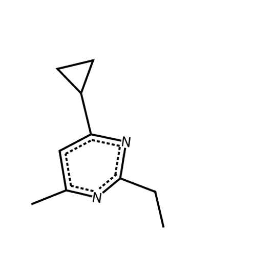 CCc1nc(C)cc(C2CC2)n1